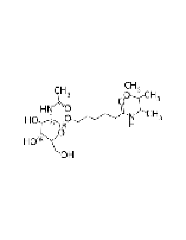 COC(C)C(C)NC(=O)CCCCCO[C@@H]1OC(CO)[C@H](O)C(O)[C@@H]1NC(C)=O